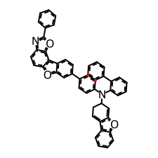 C1=c2oc3ccccc3c2=CCC1N(c1ccc(-c2ccc3c(c2)oc2ccc4nc(-c5ccccc5)oc4c23)cc1)c1ccccc1-c1ccccc1